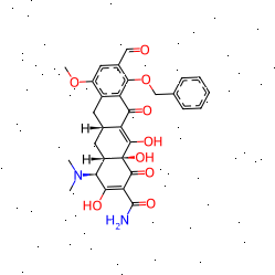 COc1cc(C=O)c(OCc2ccccc2)c2c1C[C@H]1C[C@H]3[C@H](N(C)C)C(O)=C(C(N)=O)C(=O)[C@@]3(O)C(O)=C1C2=O